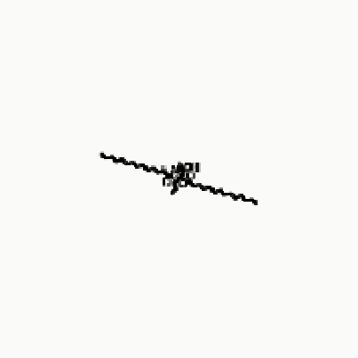 CCCCCCCCCCCCCC(=O)OC(CCC)(CC(C)(N)O)OC(=O)CCCCCCCCCCCCC